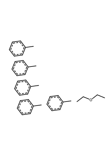 CCOCC.Cc1ccccc1.Cc1ccccc1.Cc1ccccc1.Cc1ccccc1.Cc1ccccc1